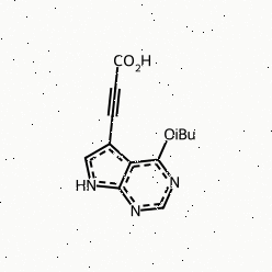 CC(C)COc1ncnc2[nH]cc(C#CC(=O)O)c12